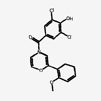 COC1=C(C2=CN(C(=O)c3cc(Cl)c(O)c(Cl)c3)C=CO2)CCC=C1